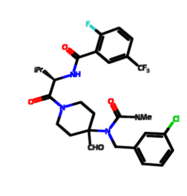 CNC(=O)N(Cc1cccc(Cl)c1)C1(C=O)CCN(C(=O)[C@H](NC(=O)c2cc(C(F)(F)F)ccc2F)C(C)C)CC1